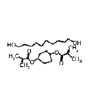 C=C(C)C(=O)OC1CCC(OC(=O)C(=C)C)CC1.OCCCCCCCCCCO